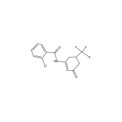 O=C1C=C(NC(=O)c2ccccc2Cl)CC(C(F)(F)F)C1